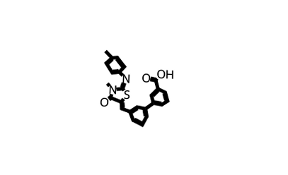 Cc1ccc(/N=C2/S/C(=C\c3cccc(-c4cccc(C(=O)O)c4)c3)C(=O)N2C)cc1